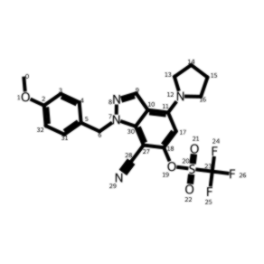 COc1ccc(Cn2ncc3c(N4CCCC4)cc(OS(=O)(=O)C(F)(F)F)c(C#N)c32)cc1